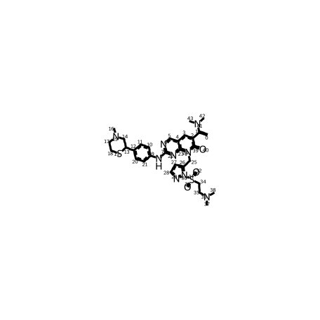 C=C(c1cc2cnc(Nc3ccc(C4CN(C)CCS4)cc3)nc2n(Cc2ccnn2S(=O)(=O)CCN(C)C)c1=O)N(C)C